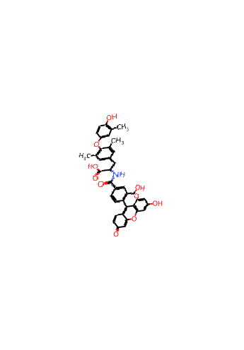 Cc1cc(Oc2c(C)cc(CC(NC(=O)c3ccc(-c4c5ccc(=O)cc-5oc5cc(O)ccc45)c(C(=O)O)c3)C(=O)O)cc2C)ccc1O